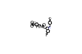 CSc1ccc(/C=C2\C=C(CC(=O)NCc3ccc([N+](=O)[O-])cc3)c3cc(F)ccc32)cc1